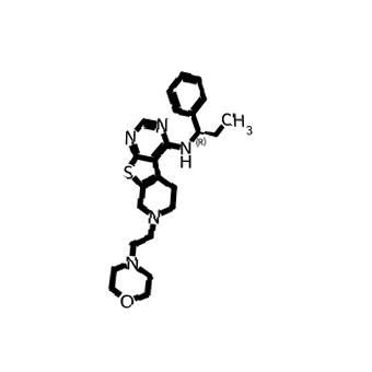 CC[C@@H](Nc1ncnc2sc3c(c12)CCN(CCN1CCOCC1)C3)c1ccccc1